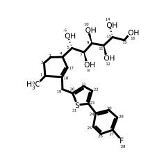 CC1CCC([C@H](O)[C@H](O)[C@@H](O)[C@H](O)[C@H](O)CO)C=C1Cc1ccc(-c2ccc(F)cc2)s1